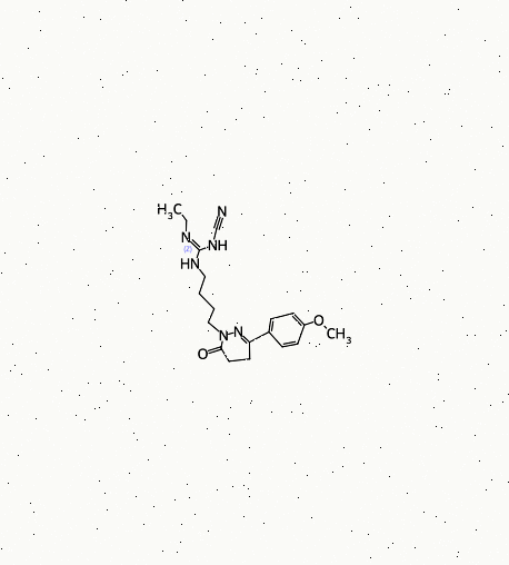 CC/N=C(\NC#N)NCCCCN1N=C(c2ccc(OC)cc2)CCC1=O